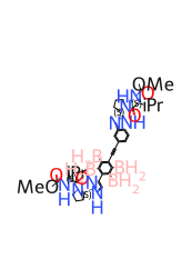 Bc1c(B)c(-c2c[nH]c([C@@H]3CCCN3C(=O)[C@@H](NC(=O)OC)C(C)C)n2)c(B)c(B)c1C#Cc1ccc2[nH]c([C@@H]3CCCN3C(=O)[C@@H](NC(=O)OC)C(C)C)nc2c1